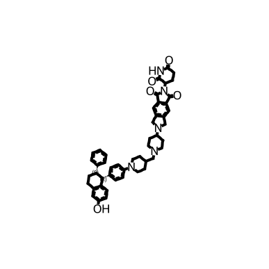 O=C1CCC(N2C(=O)c3cc4c(cc3C2=O)CN(C2CCN(CC3CCN(c5ccc([C@@H]6c7ccc(O)cc7CC[C@@H]6c6ccccc6)cc5)CC3)CC2)C4)C(=O)N1